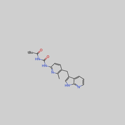 Cc1nc(NC(=O)NC(=O)C(C)(C)C)ccc1Cc1c[nH]c2ncccc12